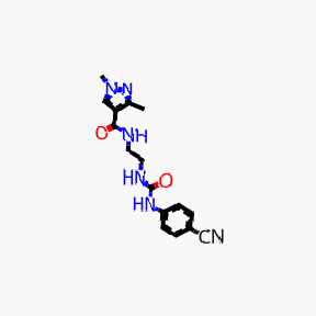 Cc1nn(C)cc1C(=O)NCCNC(=O)Nc1ccc(C#N)cc1